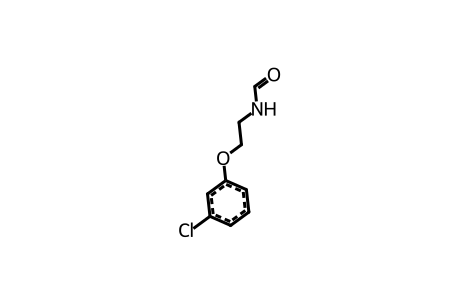 O=CNCCOc1cccc(Cl)c1